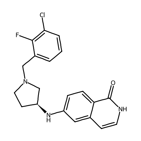 O=c1[nH]ccc2cc(N[C@H]3CCN(Cc4cccc(Cl)c4F)C3)ccc12